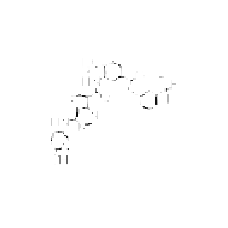 Cc1ccc(Nc2ncnc3c(C(=O)Nc4cc(C(=O)Nc5cccc(C(F)(F)F)c5)ccc4C)csc23)cn1